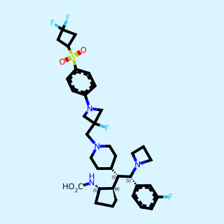 O=C(O)N[C@H]1CCC[C@@H]1[C@H](C1CCN(CC2(F)CN(c3ccc(S(=O)(=O)C4CC(F)(F)C4)cc3)C2)CC1)[C@@H](c1cccc(F)c1)N1CCC1